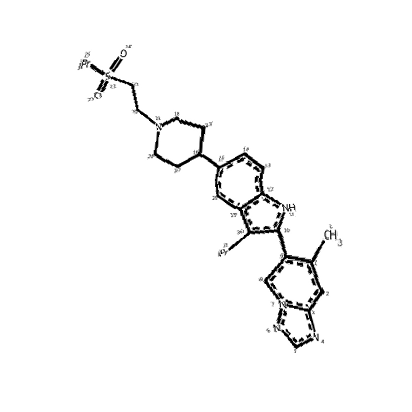 Cc1cc2ncnn2cc1-c1[nH]c2ccc(C3CCN(CCS(=O)(=O)C(C)C)CC3)cc2c1C(C)C